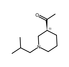 CC(=O)[C@H]1CCCN(CC(C)C)C1